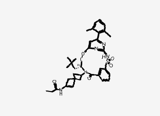 CCC(=O)NC1CC2(C1)CC(N1C(=O)c3cccc(c3)S(=O)(=O)Nc3nc(cc(-c4c(C)cccc4C)n3)OC[C@H]1CC(C)(C)C)C2